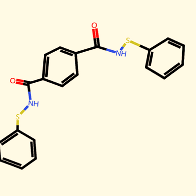 O=C(NSc1ccccc1)c1ccc(C(=O)NSc2ccccc2)cc1